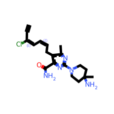 C#C/C(Cl)=C\C=C/Cc1c(C)nc(N2CCC(C)(N)CC2)nc1C(N)=O